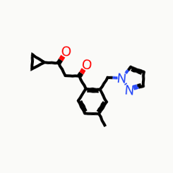 Cc1ccc(C(=O)CC(=O)C2CC2)c(Cn2cccn2)c1